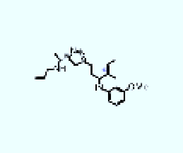 C=CCNC(C)[C@H]1CN(CCC(Nc2cccc(OC)c2)/C(C)=C/C)N=N1